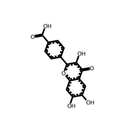 O=C(O)c1ccc(-c2oc3cc(O)c(O)cc3c(=O)c2O)cc1